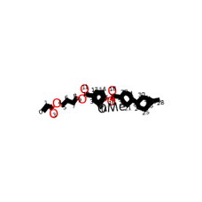 C=CC(=O)OCCCCOC(=O)c1ccc(OC(=O)C2CCC(C3CCC4C(C)C4C3)CC2)c(OC)c1